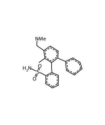 CNCc1ccc(-c2ccccc2)c(-c2ccccc2S(N)(=O)=O)c1C